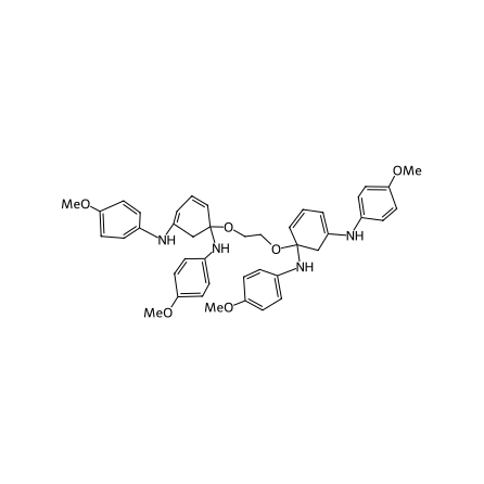 COc1ccc(NC2=CC=CC(Nc3ccc(OC)cc3)(OCCOC3(Nc4ccc(OC)cc4)C=CC=C(Nc4ccc(OC)cc4)C3)C2)cc1